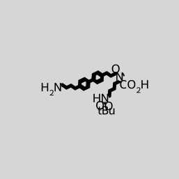 CN(C(=O)CCc1ccc(-c2ccc(CCCCN)cc2)cc1)[C@@H](CCCCNC(=O)OC(C)(C)C)C(=O)O